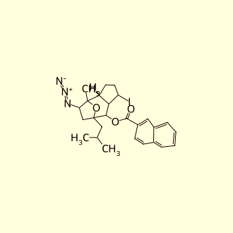 CC(C)CC12CC(N=[N+]=[N-])C(C)(O1)[C@@H]1CCC(I)C1C2OC(=O)c1ccc2ccccc2c1